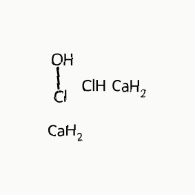 Cl.OCl.[CaH2].[CaH2]